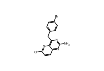 Nc1nc(Cc2ccc(Br)cc2)c2nc(Cl)ccc2n1